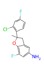 CC1(c2ccc(F)cc2Cl)Cc2cc(N)cc(F)c2O1